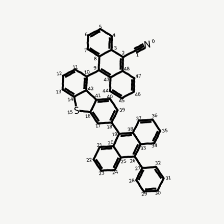 N#Cc1c2ccccc2c(-c2cccc3sc4cc(-c5c6ccccc6c(-c6ccccc6)c6ccccc56)ccc4c23)c2ccccc12